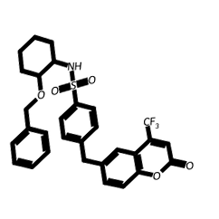 O=c1cc(C(F)(F)F)c2cc(Cc3ccc(S(=O)(=O)NC4CCCCC4OCc4ccccc4)cc3)ccc2o1